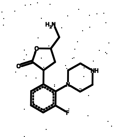 NCC1CC(c2cccc(F)c2N2CCNCC2)C(=O)O1